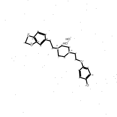 Cl.Cl.Clc1ccc(OCCN2CCN(CCc3ccc4c(c3)OCO4)CC2)cc1